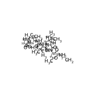 C=CCNC(=O)C(=O)C(CCC)NC(=O)[C@@H]1[C@@H]2[C@H](CN1C(=O)[C@@H](NC(=O)N[C@H](CN1CCCS1(=O)=O)C(C)(C)C)C(C)(C)C)C2(C)C